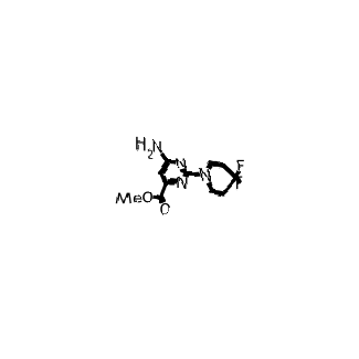 COC(=O)c1cc(N)nc(N2CCC(F)(F)CC2)n1